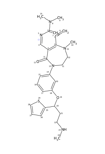 C=CC1=C(/C=N\C(=C)N(C)C)C(=O)N(c2cccc(OC(CCNC)c3cccs3)c2)CCN1C